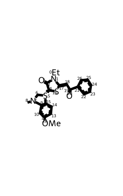 CCN1C(=O)C(=S2CN(C)c3cc(OC)ccc32)SC1=CC(=O)c1ccccc1